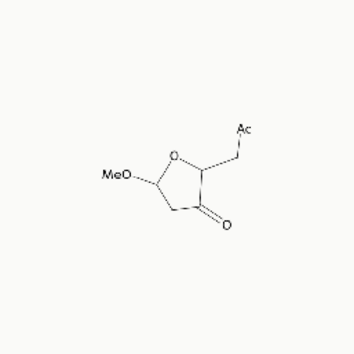 COC1CC(=O)C(CC(C)=O)O1